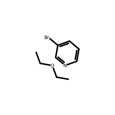 Brc1cccnc1.CCOCC